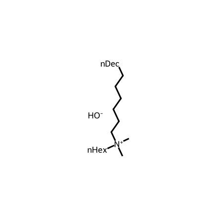 CCCCCCCCCCCCCCCC[N+](C)(C)CCCCCC.[OH-]